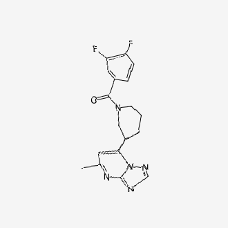 Cc1cc(C2CCCN(C(=O)c3ccc(F)c(F)c3)C2)n2ncnc2n1